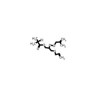 C=CCOCC(COC(=O)C(C)(C)CC)OOCC(=C)C